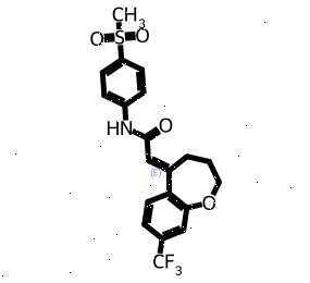 CS(=O)(=O)c1ccc(NC(=O)/C=C2\CCCOc3cc(C(F)(F)F)ccc32)cc1